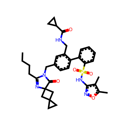 CCCCC1=NC2(CC3(CC3)C2)C(=O)N1Cc1ccc(-c2ccccc2S(=O)(=O)Nc2noc(C)c2C)c(CNC(=O)C2CC2)c1